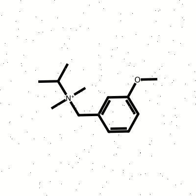 COc1cccc(C[N+](C)(C)C(C)C)c1